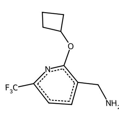 NCc1ccc(C(F)(F)F)nc1OC1CCC1